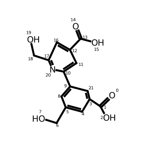 O=C(O)c1cc(CO)cc(-c2cc(C(=O)O)cc(CO)n2)c1